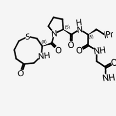 CC(C)C[C@H](NC(=O)[C@@H]1CCCN1C(=O)[C@@H]1CSCCCC(=O)CN1)C(=O)NCC(N)=O